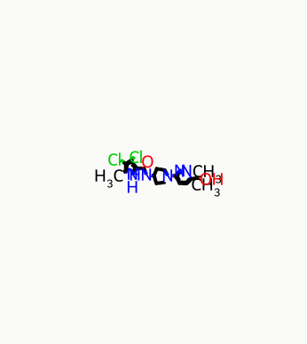 Cc1[nH]c(C(=O)NC2CCN(c3ccc(C(C)(C)O)nn3)CC2)c(Cl)c1Cl